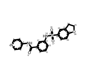 O=C(Nc1ccncc1)c1cccc(NS(=O)(=O)c2ccc3c(c2)CCO3)c1